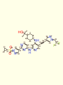 CC(C)(O)C1CCC(Nc2cc(Nc3ccnc(-c4cnn(S(=O)(=O)C5CC5)c4)n3)ncc2C#Cc2cnn(CC(F)F)c2)CC1